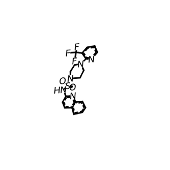 O=S(=O)(Nc1ccc2ccccc2n1)N1CCN(c2ncccc2C(F)(F)F)CC1